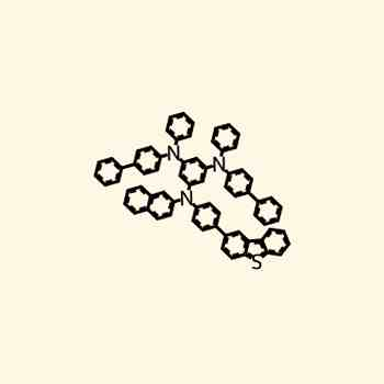 c1ccc(-c2ccc(N(c3ccccc3)c3cc(N(c4ccccc4)c4ccc(-c5ccccc5)cc4)cc(N(c4ccc(-c5ccc6sc7ccccc7c6c5)cc4)c4ccc5ccccc5c4)c3)cc2)cc1